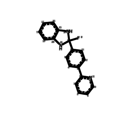 FC1(c2ccc(-c3ccccn3)cc2)Nc2ccccc2N1